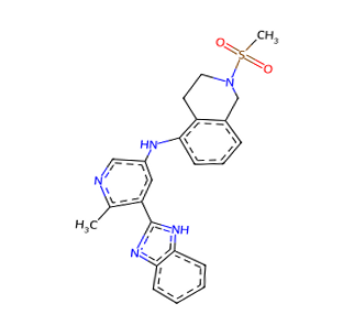 Cc1ncc(Nc2cccc3c2CCN(S(C)(=O)=O)C3)cc1-c1nc2ccccc2[nH]1